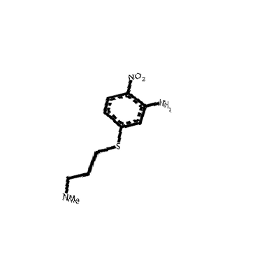 CNCCCSc1ccc([N+](=O)[O-])c(N)c1